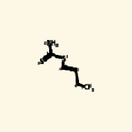 NC(=S)SC=CCC(F)(F)F